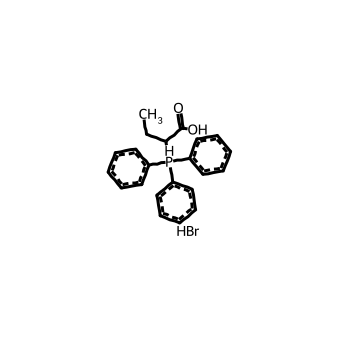 Br.CCC(C(=O)O)[PH](c1ccccc1)(c1ccccc1)c1ccccc1